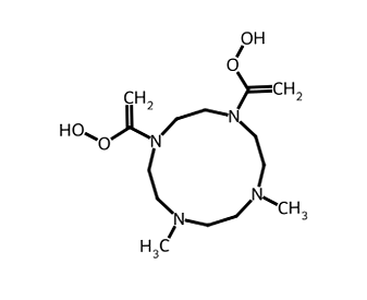 C=C(OO)N1CCN(C)CCN(C)CCN(C(=C)OO)CC1